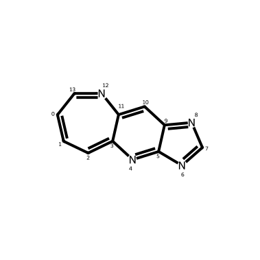 c1ccc2nc3ncnc3cc2nc1